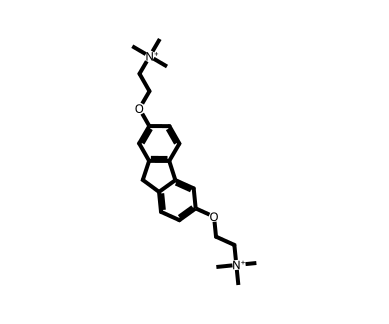 C[N+](C)(C)CCOc1ccc2c(c1)Cc1ccc(OCC[N+](C)(C)C)cc1-2